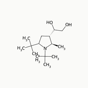 C[C@@H]1[C@@H](C(O)CO)CC(C(C)(C)C)N1C(C)(C)C